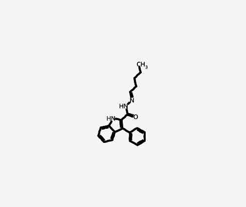 CCCCC=NNC(=O)c1[nH]c2ccccc2c1-c1ccccc1